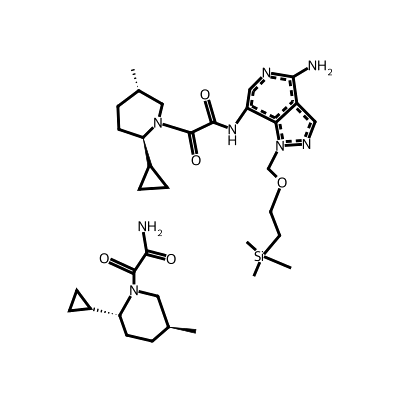 C[C@H]1CC[C@H](C2CC2)N(C(=O)C(=O)Nc2cnc(N)c3cnn(COCC[Si](C)(C)C)c23)C1.C[C@H]1CC[C@H](C2CC2)N(C(=O)C(N)=O)C1